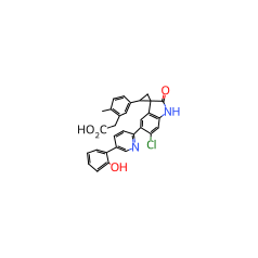 Cc1ccc(C2CC23C(=O)Nc2cc(Cl)c(-c4ccc(-c5ccccc5O)cn4)cc23)cc1CC(=O)O